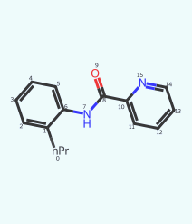 [CH2]CCc1ccccc1NC(=O)c1ccccn1